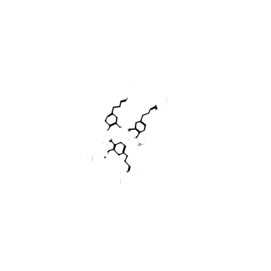 COC(=O)C1=C(C(=O)OCC2=C(COC(=O)C3=C(C(=O)OC)CC=C(CCC=C(C)C)C3)CC(CCC=C(C)C)=CC2)CC=C(CCC=C(C)C)C1